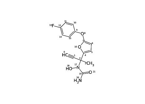 C#CC(C)(c1ccc(Oc2ccc(F)cc2)o1)N(O)C(N)=O